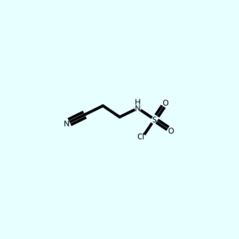 N#CCCNS(=O)(=O)Cl